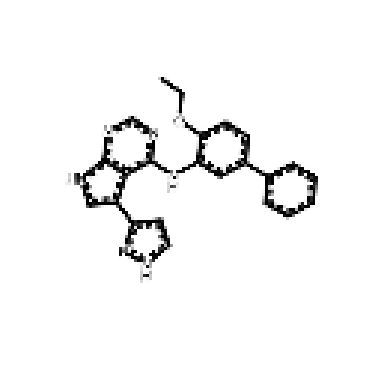 CCOc1ccc(-c2ccccc2)cc1Nc1ncnc2[nH]cc(-c3cc[nH]n3)c12